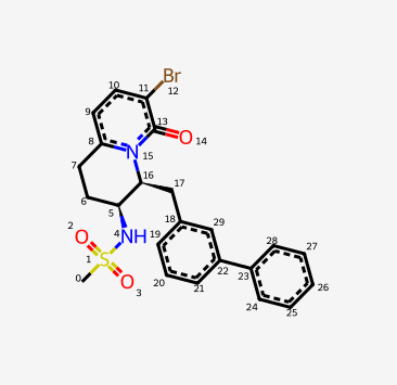 CS(=O)(=O)N[C@H]1CCc2ccc(Br)c(=O)n2[C@H]1Cc1cccc(-c2ccccc2)c1